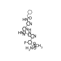 CS(=O)(=O)C(N)c1cc(F)cc(-c2cncc3[nH]c(-c4n[nH]c5ccc(-c6cncc(NC(=O)CC7CCCCC7)c6)nc45)cc23)c1